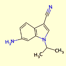 CC(C)n1cc(C#N)c2ccc(N)cc21